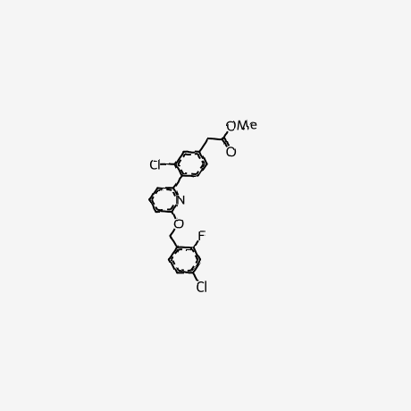 COC(=O)Cc1ccc(-c2cccc(OCc3ccc(Cl)cc3F)n2)c(Cl)c1